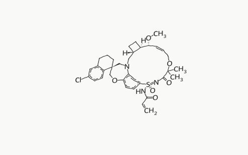 C=CC(=O)N[S@]1(=O)=NC(=O)C(C)(C)OCC=C[C@@H](OC)[C@@H]2CC[C@H]2CN2C[C@@]3(CCCc4cc(Cl)ccc43)COc3ccc1cc32